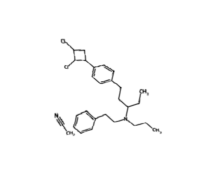 CC#N.CCCN(CCc1ccccc1)C(CC)CCc1ccc(C2CC(Cl)C2Cl)cc1